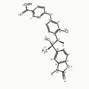 COC(=O)c1ccc(Oc2ccc([C@@H](C)[C@@](O)(c3ccc4oc(=O)n(C)c4c3)C(F)(F)F)c(Cl)c2)nn1